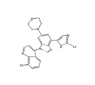 Clc1ncc(-c2cc(N3CCOCC3)cc3c2ncn3-c2ccnc3c(Cl)cccc23)[nH]1